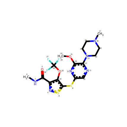 CNC(=O)c1nsc(Sc2cnc(N3CCN(C)CC3)c(OC)n2)c1OC(F)(F)F